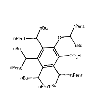 CCCCCC(CCCC)Oc1c(C(=O)O)c(C(CCCC)CCCCC)c(C(CCCC)CCCCC)c(C(CCCC)CCCCC)c1C(CCCC)CCCCC